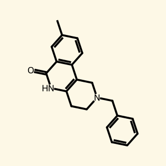 Cc1ccc2c3c([nH]c(=O)c2c1)CCN(Cc1ccccc1)C3